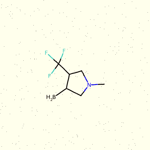 BC1CN(C)CC1C(F)(F)F